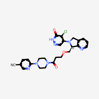 N#Cc1ccc(N2CCN(C(=O)CCOC[C@@H]3c4ncccc4CN3c3cn[nH]c(=O)c3Cl)CC2)nc1